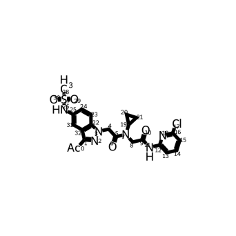 CC(=O)c1nn(CC(=O)N(CC(=O)Nc2cccc(Cl)n2)C2CC2)c2ccc(NS(C)(=O)=O)cc12